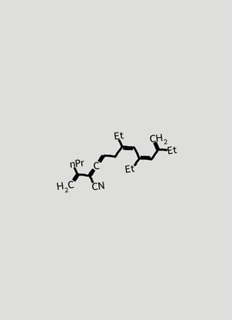 C=C(/C=C(\C=C(\CC)CC=C=C(C#N)C(=C)CCC)CC)CC